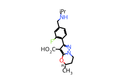 CC(C)NCc1ccc(-c2nn3c(c2C(=O)O)O[C@H](C)CC3)c(F)c1